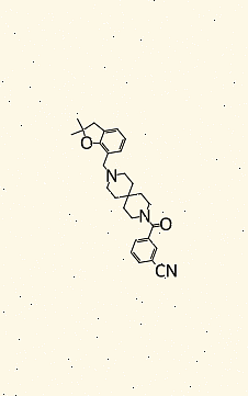 CC1(C)Cc2cccc(CN3CCC4(CC3)CCN(C(=O)c3cccc(C#N)c3)CC4)c2O1